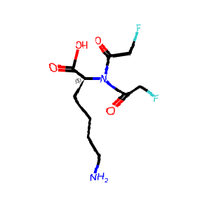 NCCCC[C@@H](C(=O)O)N(C(=O)CF)C(=O)CF